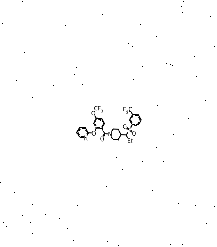 CCC(C1CCN(C(=O)c2ccc(OC(F)(F)F)cc2Oc2ccccn2)CC1)S(=O)(=O)c1cccc(C(F)(F)F)c1